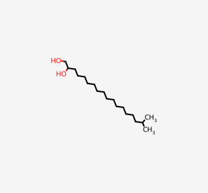 CC(C)CCCCCCCCCCCCCCC(O)CO